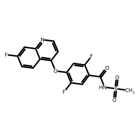 CS(=O)(=O)NC(=O)c1cc(F)c(Oc2ccnc3cc(F)ccc23)cc1F